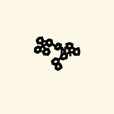 CC1(C)c2ccccc2-c2cccc(N(c3ccc(-c4ccc5c(c4)C(c4ccccc4)(c4ccccc4)c4ccccc4-5)cc3)c3cccc(-c4cccc5ccccc45)c3)c21